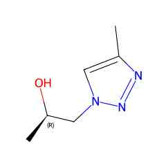 Cc1cn(C[C@@H](C)O)nn1